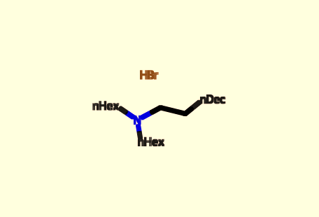 Br.CCCCCCCCCCCCN(CCCCCC)CCCCCC